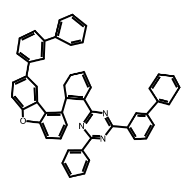 C1=CC(c2nc(-c3ccccc3)nc(-c3cccc(-c4ccccc4)c3)n2)=C(c2cccc3oc4ccc(-c5cccc(-c6ccccc6)c5)cc4c23)CC1